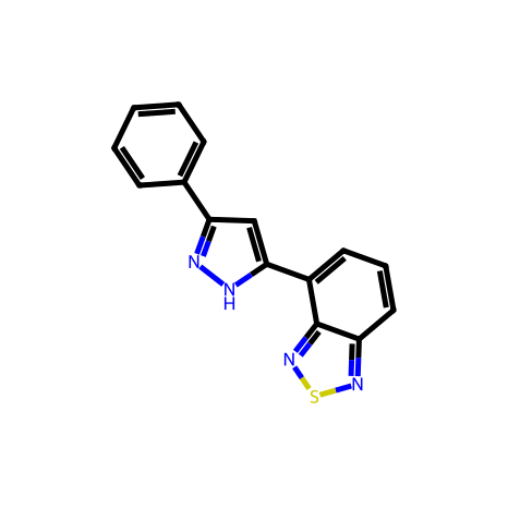 c1ccc(-c2cc(-c3cccc4nsnc34)[nH]n2)cc1